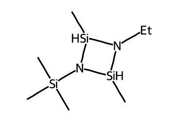 CCN1[SiH](C)N([Si](C)(C)C)[SiH]1C